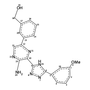 COc1cccc(-c2nnc(-c3nc(-c4cccc(CO)c4)cnc3N)[nH]2)c1